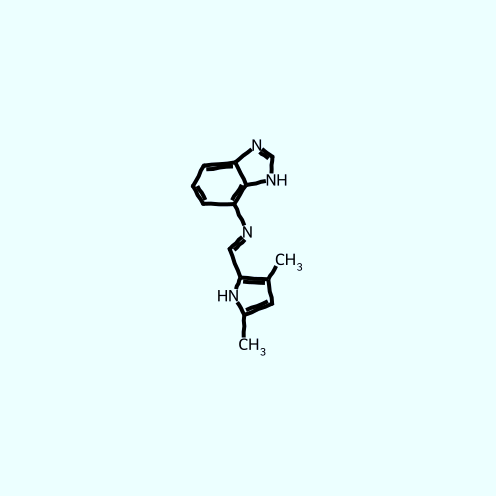 Cc1cc(C)c(C=Nc2cccc3nc[nH]c23)[nH]1